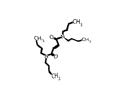 CCCCN(CCCC)C(=O)C=CC(=O)N(CCCC)CCCC